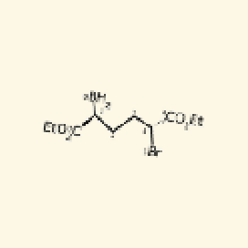 B[C@@H](CC[C@@H](Br)C(=O)OCC)C(=O)OCC